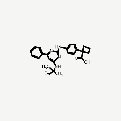 CCC(C)(C)Nc1cc(-c2ccccc2)nc(Nc2ccc(C3(C(=O)O)CCC3)cc2)n1